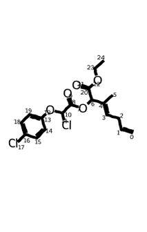 C=CCC=C(C)C(OC(=O)C(Cl)Oc1ccc(Cl)cc1)C(=O)OCC